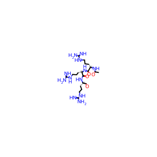 CC(=O)N[C@@H](CCCNC(=N)N)C(=O)N[C@@H](CCCNC(=N)N)C(=O)N[C@H](C=O)CCCNC(=N)N